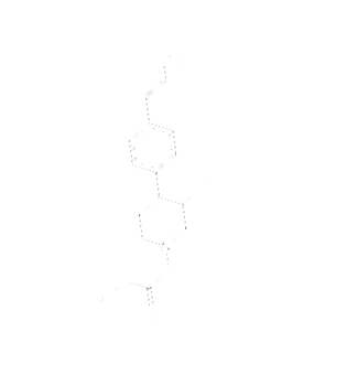 CCOC(=O)C=Cc1ccc(C2CCN(OC(=O)OC(C)(C)C)CC2O)cc1